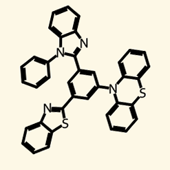 c1ccc(-n2c(-c3cc(-c4nc5ccccc5s4)cc(N4c5ccccc5Sc5ccccc54)c3)nc3ccccc32)cc1